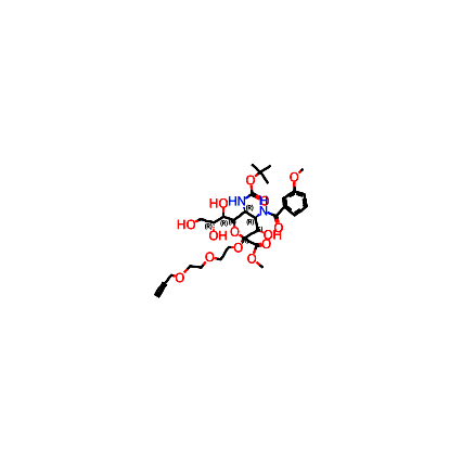 C#CCOCCOCCO[C@@]1(C(=O)OC)O[C@@H]([C@H](O)[C@H](O)CO)[C@H](NC(=O)OC(C)(C)C)[C@@H](NC(=O)c2cccc(OC)c2)[C@@H]1O